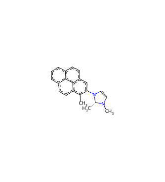 Cc1c(N2C=CN(C)[C@@H]2C)cc2ccc3cccc4ccc1c2c34